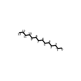 C[CH]CCCCCCCCCC[CH]C